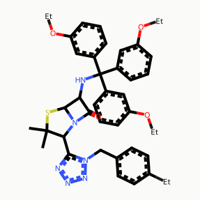 CCOc1cccc(C(NC2C(=O)N3C2SC(C)(C)C3c2nnnn2Cc2ccc(CC)cc2)(c2cccc(OCC)c2)c2cccc(OCC)c2)c1